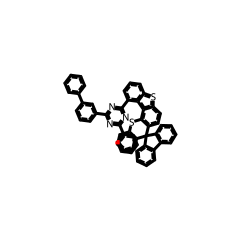 c1ccc(-c2cccc(-c3nc(-c4ccccc4)nc(-c4cccc5sc6ccc7c(c6c45)Sc4ccccc4C74c5ccccc5-c5ccccc54)n3)c2)cc1